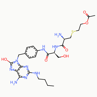 CCCCNc1nc(N)c2nc(O)n(Cc3ccc(NC(=O)[C@H](CO)NC(=O)[C@@H](N)CSCCOC(C)=O)cc3)c2n1